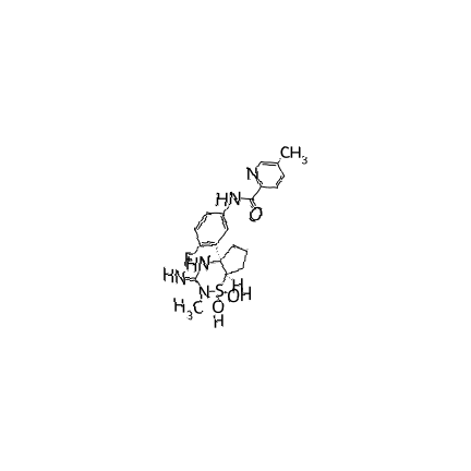 Cc1ccc(C(=O)Nc2ccc(F)c([C@]34CCC[C@H]3S(O)(O)N(C)C(=N)N4)c2)nc1